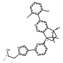 C[C@H](O)Cn1cc(-c2nccc([C@@]34CC[C@@H](c5cc(-c6c(F)cccc6F)nnc53)C4(C)C)n2)cn1